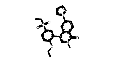 CCOc1ccc(S(=O)(=O)CC)cc1-c1cn(C)c(=O)c2ccc(-n3cccn3)cc12